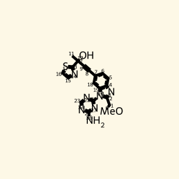 COCc1nc2ccc(C#CC(C)(O)c3nccs3)cc2n1-c1ncnc(N)n1